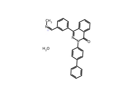 C/N=C\c1cccc(-c2nn(-c3ccc(-c4ccccc4)cc3)c(=O)c3ccccc23)c1.O